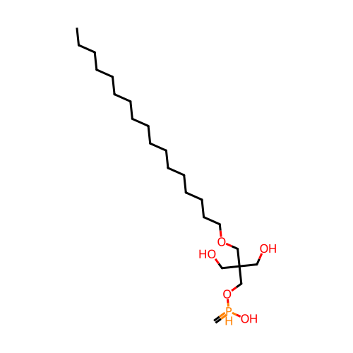 C=[PH](O)OCC(CO)(CO)COCCCCCCCCCCCCCCCCC